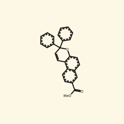 COC(=O)c1ccc2c3c(ccc2c1)OC(c1ccccc1)(c1ccccc1)C=C3